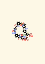 CC1(C)C[C@@H](Nc2cccc(-c3sc(C(=O)O)c(OCC(=O)O)c3Cl)c2)CCN1S(=O)(=O)Cc1cccc(NC(=O)C2CN(C(=O)CNc3ccc4c(c3)CN(C3CCC(=O)NC3=O)C4=O)C2)c1